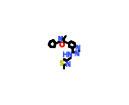 Cc1nc(CNc2ncnc3ccc(-c4oc(-c5ccccc5)nc4C)cc23)cs1